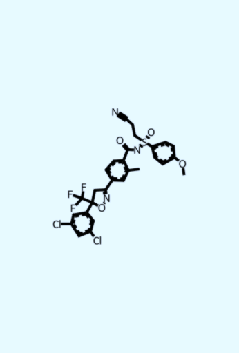 COc1ccc(S(=O)(CCC#N)=NC(=O)c2ccc(C3=NOC(c4cc(Cl)cc(Cl)c4)(C(F)(F)F)C3)cc2C)cc1